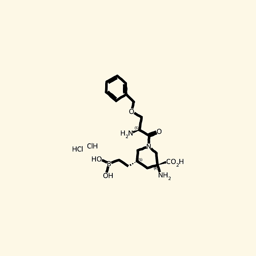 Cl.Cl.N[C@@H](COCc1ccccc1)C(=O)N1C[C@@H](CCB(O)O)C[C@](N)(C(=O)O)C1